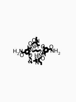 CCc1nc(C)oc1C(=O)Nc1nc2cc(C(N)=O)cc(OC)c2n1C/C=C/Cn1c(NC(=O)c2oc(C)nc2CC)nc2cc(C(N)=O)cc(OCCN(C)C)c21